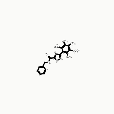 Cc1c(C)c(C(=O)O)c(C)c(-c2noc(C(=O)OCc3ccccc3)n2)c1C